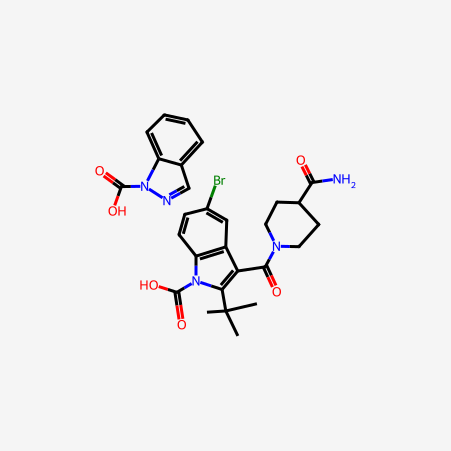 CC(C)(C)c1c(C(=O)N2CCC(C(N)=O)CC2)c2cc(Br)ccc2n1C(=O)O.O=C(O)n1ncc2ccccc21